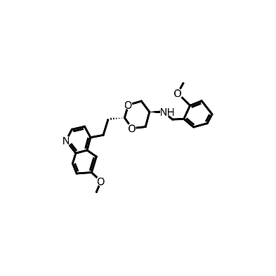 COc1ccc2nccc(CC[C@H]3OC[C@H](NCc4ccccc4OC)CO3)c2c1